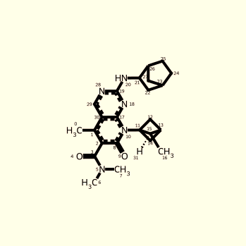 Cc1c(C(=O)N(C)C)c(=O)n(C23CC(C2)[C@H]3C)c2nc(NC3CC4CCC3C4)ncc12